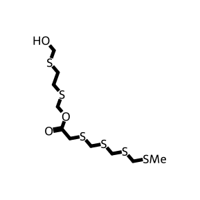 CSCSCSCSCC(=O)OCSCCSCO